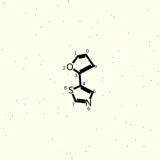 [c]1coc(-c2cncs2)c1